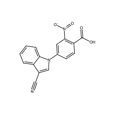 N#Cc1cn(-c2ccc(C(=O)O)c([N+](=O)[O-])c2)c2ccccc12